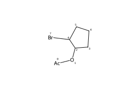 [CH2]C(=O)OC1CCCC1Br